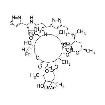 CC[C@H]1OC(=O)[C@H](C)[C@@H](O[C@H]2C[C@@](C)(OC)[C@@H](O)[C@H](C)O2)[C@H](C)[C@@H](O[C@@H]2O[C@H](C)C[C@H](N(C)CCc3cn(CCc4ccc(-c5csnn5)[nH]4)nn3)[C@H]2O)[C@](C)(O)C[C@@H](C)CN(C)[C@H](C)[C@@H](O)[C@]1(C)O